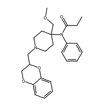 CCC(=O)N(c1ccccc1)C1(COC)CCN(CC2COc3ccccc3O2)CC1